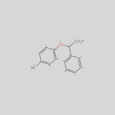 N#Cc1ccc(OC(C(=O)O)c2ccccc2)cc1